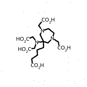 O=C(O)CCCCC1(N(CC(=O)O)CC(=O)O)CN(CC(=O)O)CCN(CC(=O)O)C1